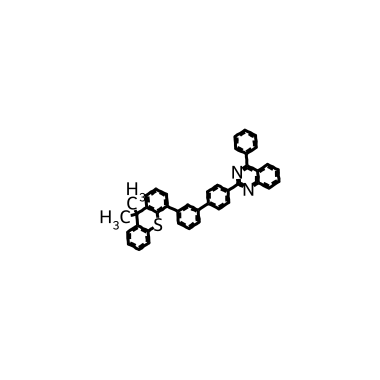 CC1(C)c2ccccc2Sc2c(-c3cccc(-c4ccc(-c5nc(-c6ccccc6)c6ccccc6n5)cc4)c3)cccc21